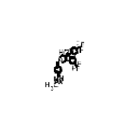 Cn1nnc(-c2ccc(CN3CCC(C(O)(c4ccc(C(F)(F)F)cc4)c4ccc(C(F)(F)F)cc4)CC3)cc2)n1